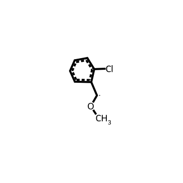 CO[CH]c1ccccc1Cl